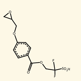 O=C(OCC(F)(F)S(=O)(=O)O)c1ccc(OCC2CO2)cc1